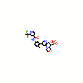 Cc1ccc(NC(=O)c2ccnc(C(C)(F)F)c2)cc1-c1cnc2c(c1)N1CCOCC1C(CS(C)(=O)=O)C2